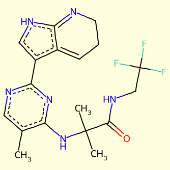 Cc1cnc(-c2c[nH]c3c2=CCCN=3)nc1NC(C)(C)C(=O)NCC(F)(F)F